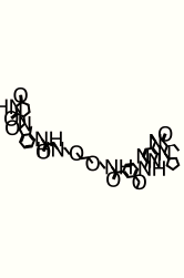 CC[C@@H]1C(=O)N(C)c2cnc(Nc3ccc(C(=O)NCCOCCOCCNCC(=O)Nc4cccc5c4CN(C4CCC(=O)NC4=O)C5=O)cc3OC)nc2N1C1CCCC1